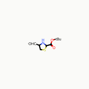 CC(C)(C)OC(=O)C1NC([C]=O)CS1